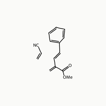 C=C(C=Cc1ccccc1)C(=O)OC.C=CC#N